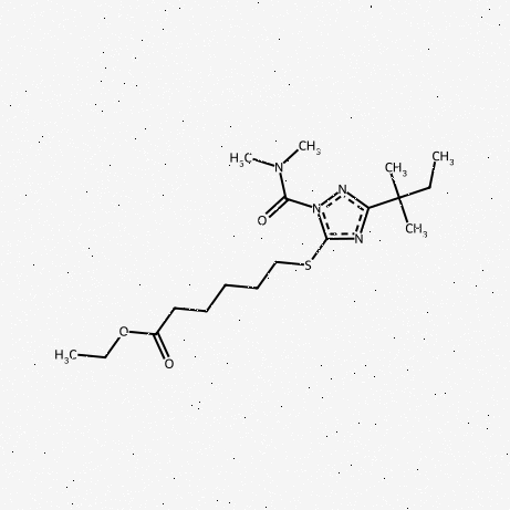 CCOC(=O)CCCCCSc1nc(C(C)(C)CC)nn1C(=O)N(C)C